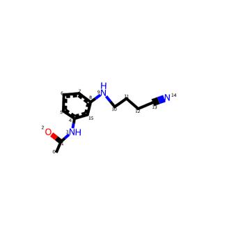 CC(=O)Nc1cccc(NCCCC#N)c1